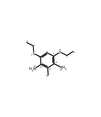 CCSc1cc(SCC)c(N)c(C)c1N